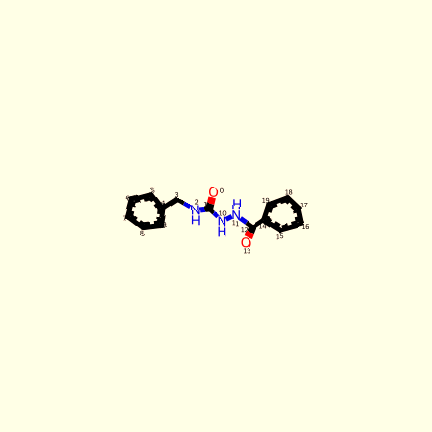 O=C(NCc1ccccc1)NNC(=O)c1ccccc1